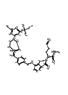 CNC(=O)C(CCC=O)N1Cc2c(OCc3ccc(CN4CCN(c5cc(C(F)(F)F)nc(C)n5)CC4)cc3)cccc2C1=O